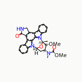 COC(=O)N(C)[C@@H]1C[C@H]2O[C@@](C)([C@@H]1OC)n1c3ccccc3c3c4c(c5c6ccccc6n2c5c31)C(=O)NC4